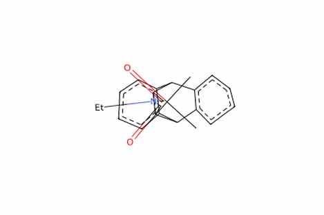 CCN1C(=O)C2C3c4ccccc4C(c4ccccc43)C2C1=O